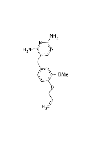 C=CCOc1ccc(Cc2cnc(N)nc2N)cc1OC